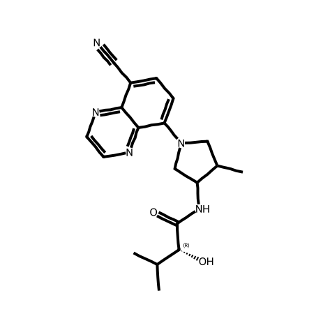 CC1CN(c2ccc(C#N)c3nccnc23)CC1NC(=O)[C@H](O)C(C)C